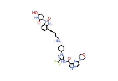 Cn1c(=O)n(C2CCC(O)NC2=O)c2cccc(C#CCCCNC[C@H]3CC[C@H](n4cc(NC(=O)c5cnn6ccc(N7CCOCC7)nc56)c(C(F)F)n4)CC3)c21